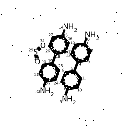 Nc1ccc(-c2ccc(N)cc2)cc1.Nc1ccc(-c2ccc(N)cc2)cc1.O=S=O